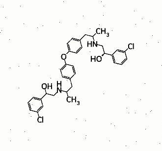 CC(Cc1ccc(Oc2ccc(CC(C)NC[C@H](O)c3cccc(Cl)c3)cc2)cc1)NCC(O)c1cccc(Cl)c1